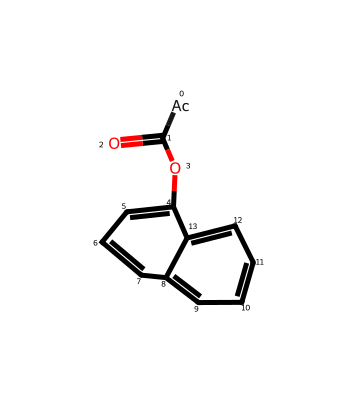 CC(=O)C(=O)Oc1cccc2ccccc12